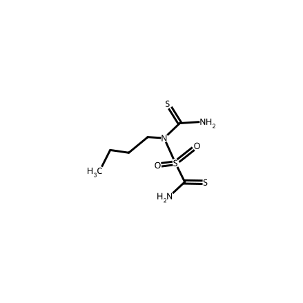 CCCCN(C(N)=S)S(=O)(=O)C(N)=S